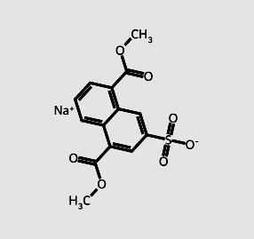 COC(=O)c1cc(S(=O)(=O)[O-])cc2c(C(=O)OC)cccc12.[Na+]